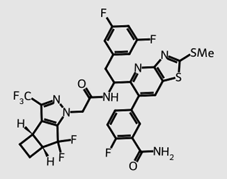 CSc1nc2nc(C(Cc3cc(F)cc(F)c3)NC(=O)Cn3nc(C(F)(F)F)c4c3C(F)(F)[C@@H]3CC[C@H]43)c(-c3ccc(F)c(C(N)=O)c3)cc2s1